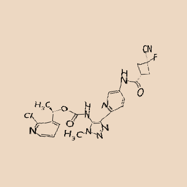 C[C@@H](OC(=O)Nc1c(-c2ccc(NC(=O)[C@H]3C[C@@](F)(C#N)C3)cn2)nnn1C)c1cccnc1Cl